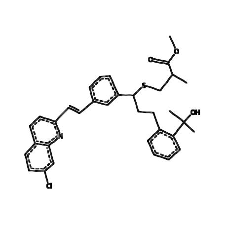 COC(=O)C(C)CSC(CCc1ccccc1C(C)(C)O)c1cccc(C=Cc2ccc3ccc(Cl)cc3n2)c1